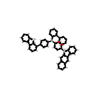 c1ccc(-c2ccccc2N(c2ccc(-c3cccc4c3oc3ccccc34)cc2)c2ccc(-n3c4ccccc4c4cc5ccccc5cc43)cc2)cc1